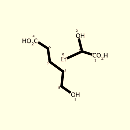 CCC(O)C(=O)O.O=C(O)CCCCO